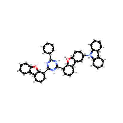 c1ccc(-c2nc(-c3cccc4c3oc3ccccc34)nc(-c3cccc4c3oc3ccc(-n5c6ccccc6c6ccccc65)cc34)n2)cc1